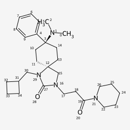 CN(C)[C@]1(c2ccccc2)CC[C@]2(CC1)CN(CCC(=O)N1CCCCC1)C(=O)N2CC1CCC1